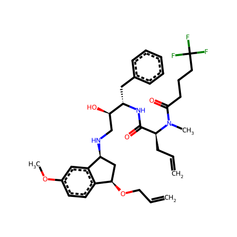 C=CCO[C@@H]1C[C@H](NC[C@@H](O)[C@H](Cc2ccccc2)NC(=O)[C@H](CC=C)N(C)C(=O)CCCC(F)(F)F)c2cc(OC)ccc21